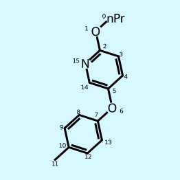 CCCOc1ccc(Oc2ccc(C)cc2)cn1